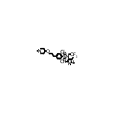 Cc1nn(C)c(C)c1N(CC(F)(F)F)S(=O)(=O)c1c(Cl)cc(CCCOC2CCN(C)CC2)cc1Cl